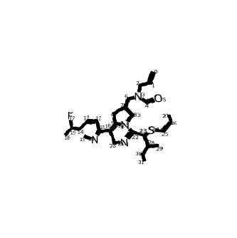 C=CCN(C=O)CC1CC2=C(C(/C=C\CC(C)F)=N/C)CN=C(C(S/C=C\C)C(C)CC)N2C1